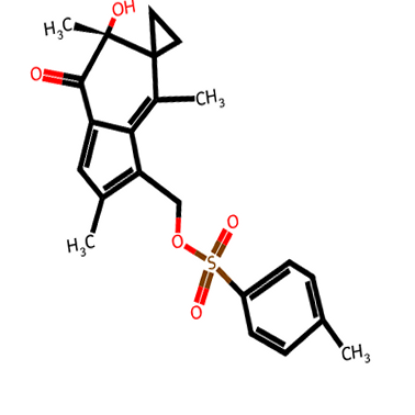 CC1=C(COS(=O)(=O)c2ccc(C)cc2)C2=C(C)C3(CC3)[C@@](C)(O)C(=O)C2=C1